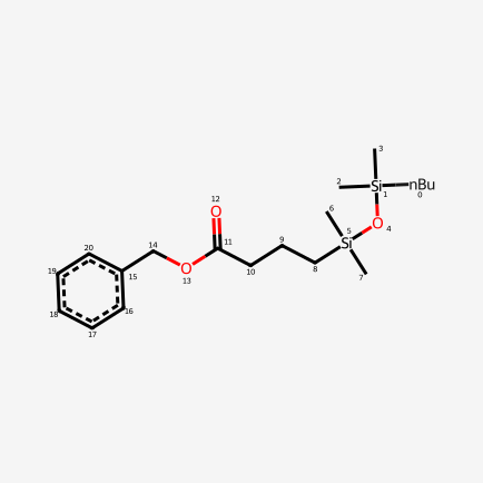 CCCC[Si](C)(C)O[Si](C)(C)CCCC(=O)OCc1ccccc1